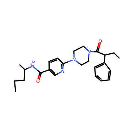 CCCC(C)NC(=O)c1ccc(N2CCN(C(=O)C(CC)c3ccccc3)CC2)nc1